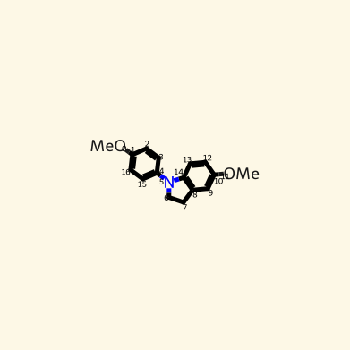 COc1ccc(N2CCc3cc(OC)ccc32)cc1